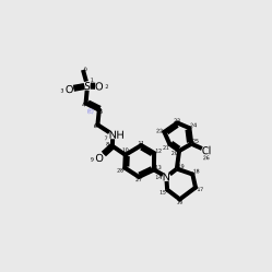 CS(=O)(=O)/C=C/CNC(=O)c1ccc(N2CCCCC2c2ccccc2Cl)cc1